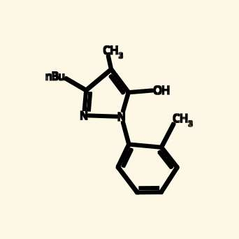 CCCCc1nn(-c2ccccc2C)c(O)c1C